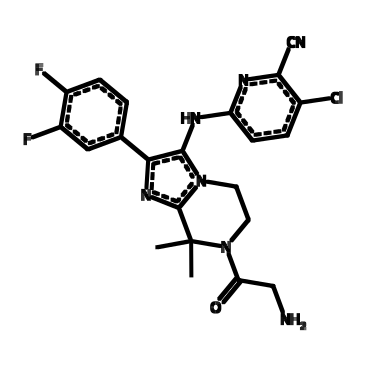 CC1(C)c2nc(-c3ccc(F)c(F)c3)c(Nc3ccc(Cl)c(C#N)n3)n2CCN1C(=O)CN